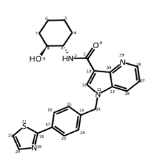 O=C(N[C@H]1CCCC[C@@H]1O)c1cn(Cc2ccc(-c3nccs3)cc2)c2cccnc12